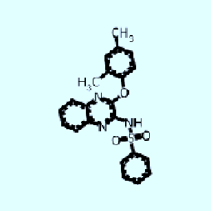 Cc1ccc(Oc2nc3ccccc3nc2NS(=O)(=O)c2ccccc2)c(C)c1